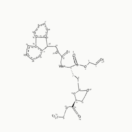 C=CCOC(=O)[C@H](CCC1OC[C@@H](C(=O)OCC(Cl)(Cl)Cl)O1)NC(=O)OCC1c2ccccc2-c2ccccc21